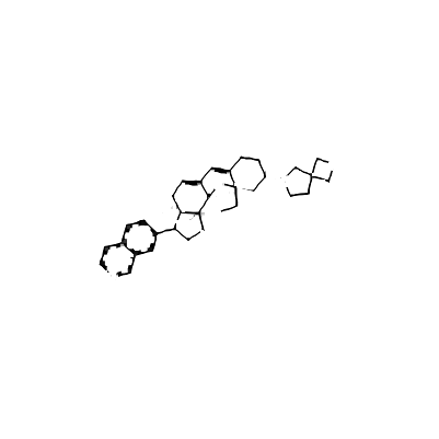 C[C@]12CC=C3C=C4CC[C@H](N5CCC6(COC6)C5)C[C@]45CC[C@]3(O5)[C@@H]1CCC2c1ccc2ccncc2c1